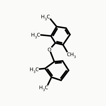 Cc1cccc(Oc2c(C)ccc(C)c2C)c1C